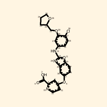 O=C(O)c1cc(Oc2ccc3oc(Nc4ccc(Cl)c(OCC5CCCO5)c4)nc3c2)ccn1